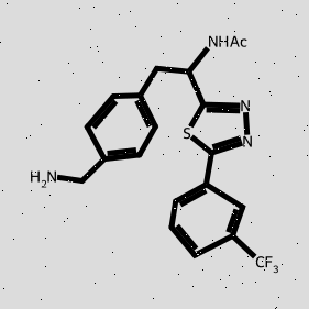 CC(=O)NC(Cc1ccc(CN)cc1)c1nnc(-c2cccc(C(F)(F)F)c2)s1